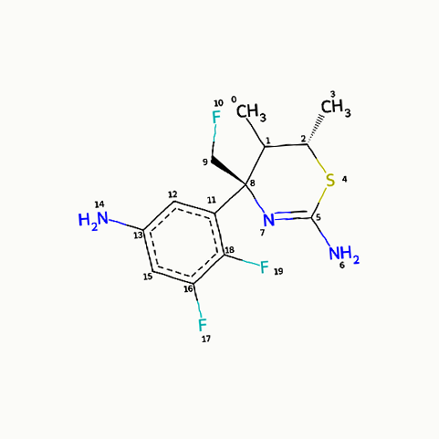 CC1[C@H](C)SC(N)=N[C@]1(CF)c1cc(N)cc(F)c1F